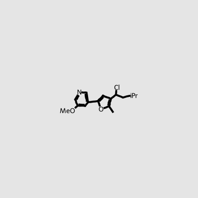 COc1cncc(-c2cc(C(Cl)CC(C)C)c(C)o2)c1